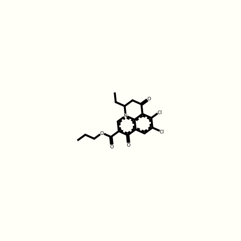 CCCOC(=O)c1cn2c3c(c(Cl)c(Cl)cc3c1=O)C(=O)CC2CC